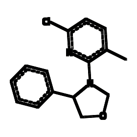 Cc1ccc(Cl)nc1N1COCC1c1ccccc1